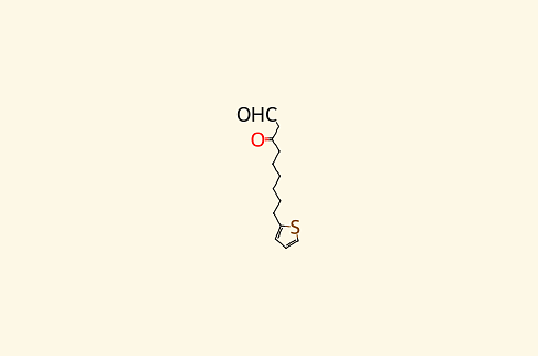 O=CCC(=O)CCCCCCc1cccs1